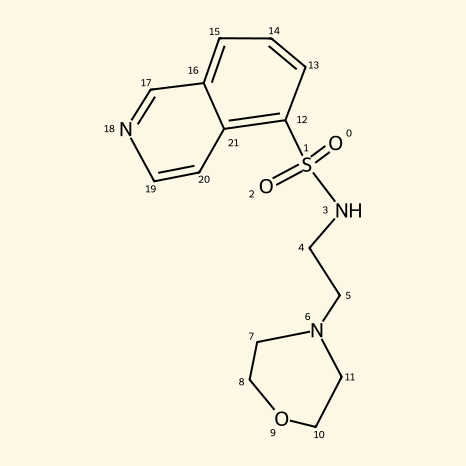 O=S(=O)(NCCN1CCOCC1)c1cccc2cnccc12